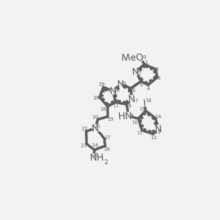 COc1cccc(-c2nc(Nc3ccncc3I)c3c(CCN4CCC(N)CC4)ccn3n2)n1